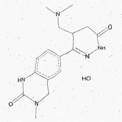 CN(C)CC1CC(=O)NN=C1c1ccc2c(c1)CN(C)C(=O)N2.Cl